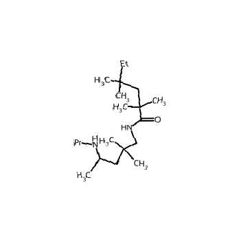 CCC(C)(C)CC(C)(C)C(=O)NCC(C)(C)CC(C)NC(C)C